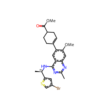 COC(=O)C1CC=C(c2cc3c(N[C@H](C)c4cc(Br)cs4)nc(C)nc3cc2OC)CC1